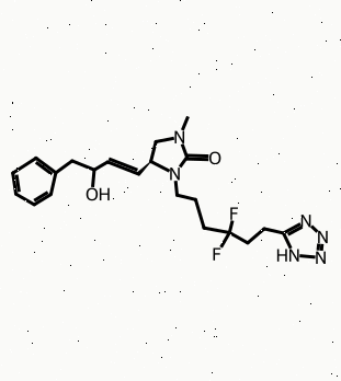 CN1C[C@H](C=CC(O)Cc2ccccc2)N(CCCC(F)(F)CCc2nnn[nH]2)C1=O